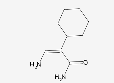 NC=C(C(N)=O)C1CCCCC1